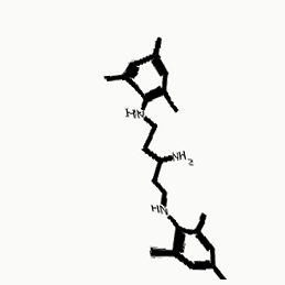 Cc1cc(C)c(NCCC(N)CCNc2c(C)cc(C)cc2C)c(C)c1